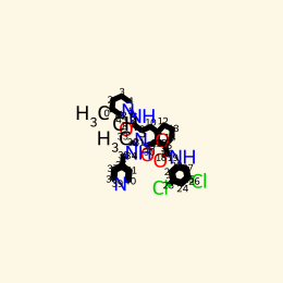 CC1CCCN(NC(=O)C2CC34CCC(O3)C(C(=O)Nc3cc(Cl)cc(Cl)c3)C4C(=O)N2C(C)NCc2ccncc2)C1C